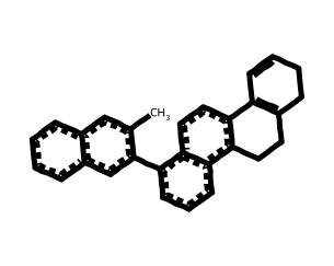 Cc1cc2ccccc2[c]c1-c1cccc2c3c(ccc12)C1=C(CCC=C1)CC3